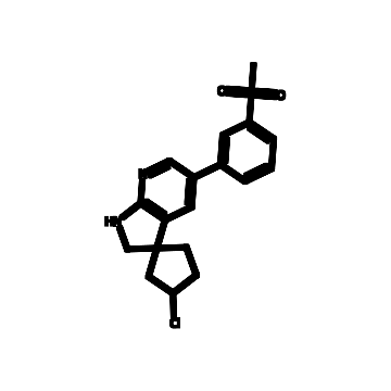 CS(=O)(=O)c1cccc(-c2cnc3c(c2)C2(CCC(Cl)C2)CN3)c1